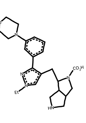 CCn1cc(CC2C3CNCC3CN2C(=O)O)c(-c2cccc(N3CCOCC3)c2)n1